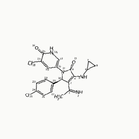 CC(=N)C1=C(NC2CC2)C(=O)N(c2c[nH]c(=O)c(Cl)c2)[C@@H]1c1ccc(Cl)cc1